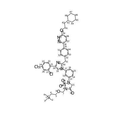 C[Si](C)(C)CCOCN1C(=O)CN(c2cccc(-n3cc(-c4ccc(Cl)cc4Cl)nc3Cc3ccc(-c4ccc(OCCC5CCCCC5)nn4)cc3)c2)S1(=O)=O